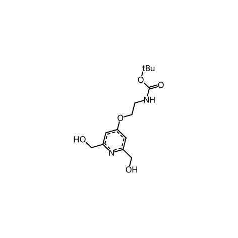 CC(C)(C)OC(=O)NCCOc1cc(CO)nc(CO)c1